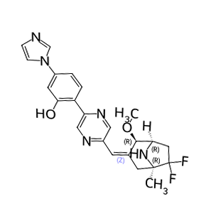 CO[C@@H]1/C(=C\c2cnc(-c3ccc(-n4ccnc4)cc3O)cn2)C[C@@]2(C)N[C@@H]1CC2(F)F